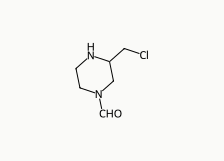 O=CN1CCNC(CCl)C1